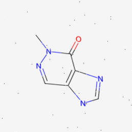 Cn1ncc2c(c1=O)N=C[N]2